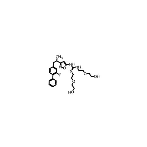 CC(Cc1ccc(-c2ccccc2)c(F)c1)c1cc(NC(=NCCOCCO)NCCOCCO)on1